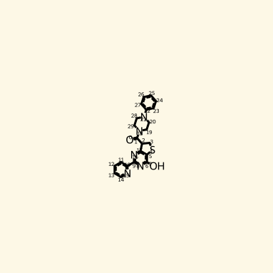 O=C(C1CSc2c(O)nc(-c3ccccn3)nc21)N1CCN(c2ccccc2)CC1